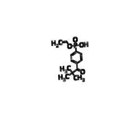 C=COP(=O)(O)c1ccc(C(=O)C(C)(C)C)cc1